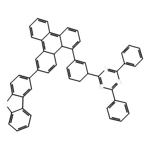 C1=CC2=c3ccccc3=C3C=C(c4ccc5oc6ccccc6c5c4)C=CC3C2C(C2=CC(c3nc(-c4ccccc4)nc(-c4ccccc4)n3)CC=C2)=C1